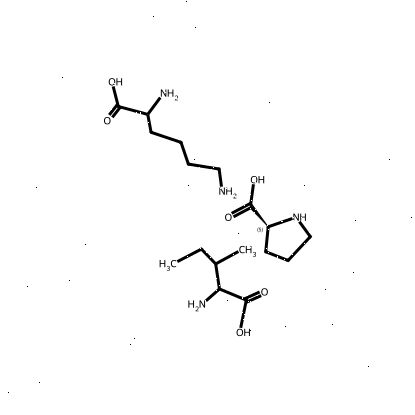 CCC(C)C(N)C(=O)O.NCCCCC(N)C(=O)O.O=C(O)[C@@H]1CCCN1